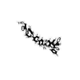 CC(=O)c1c(C)c2cnc(Nc3ccc(N4CCC(N5CCN(C(=O)CO)CC5)CC4)cn3)nc2n(C2CCCC2)c1=O